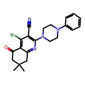 CC1(C)CC(=O)c2c(nc(N3CCN(c4ccccc4)CC3)c(C#N)c2Br)C1